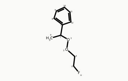 CC(OOCCF)c1ccccc1